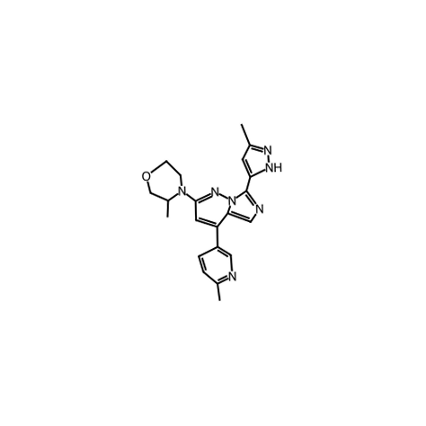 Cc1ccc(-c2cc(N3CCOCC3C)nn3c(-c4cc(C)n[nH]4)ncc23)cn1